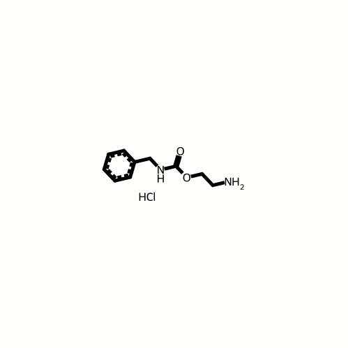 Cl.NCCOC(=O)NCc1ccccc1